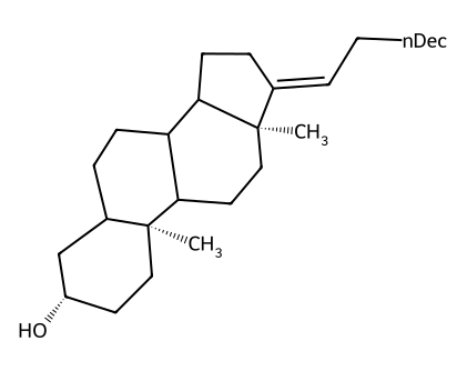 CCCCCCCCCCC/C=C1\CCC2C3CCC4C[C@@H](O)CC[C@]4(C)C3CC[C@]12C